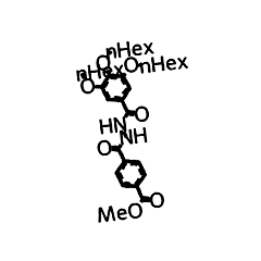 CCCCCCOc1cc(C(=O)NNC(=O)c2ccc(C(=O)OC)cc2)cc(OCCCCCC)c1OCCCCCC